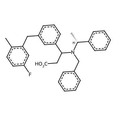 Cc1ccc(F)cc1Cc1cccc(C(CC(=O)O)N(Cc2ccccc2)[C@H](C)c2ccccc2)c1